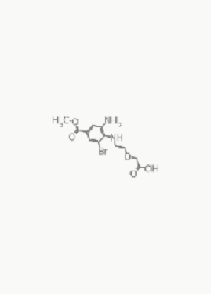 COC(=O)c1cc(N)c(NCCOCC(=O)O)c(Br)c1